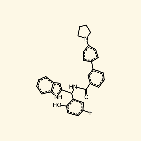 O=C(NC(c1cc2ccccc2[nH]1)c1cc(F)ccc1O)c1cccc(-c2ccc(N3CCCC3)cc2)c1